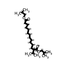 CC(C)COC(=O)CCCCCCCCCCCC(C(=O)OCC(C)C)C(C)C